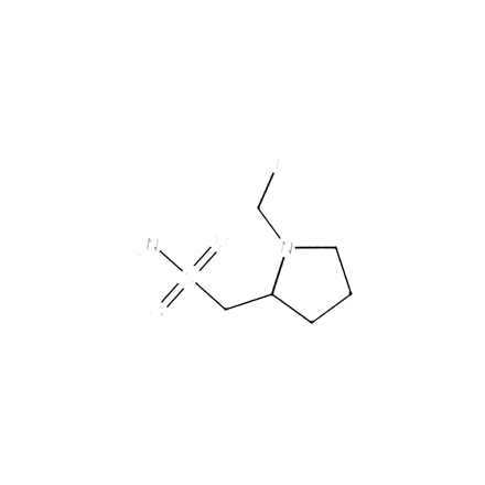 NS(=O)(=O)CC1CCCN1CI